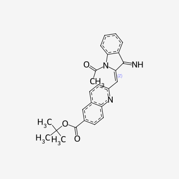 CC(=O)N1/C(=C\c2ccc3cc(C(=O)OC(C)(C)C)ccc3n2)C(=N)c2ccccc21